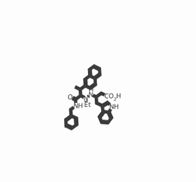 CCN(NC(CC(=O)O)Cc1c[nH]c2ccccc12)C(C(=O)NCc1ccccc1)C(C)c1ccc2ccccc2c1